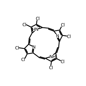 ClC1=C(Cl)c2cc3[nH]c(cc4nc(cc5[nH]c(cc1n2)c(Cl)c5Cl)C(Cl)=C4Cl)c(Cl)c3Cl